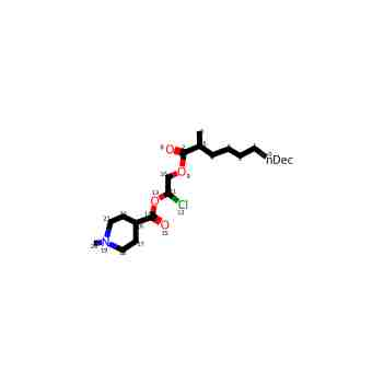 CCCCCCCCCCCCCCC(C)C(=O)OCC(Cl)OC(=O)C1CCN(C)CC1